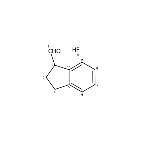 F.O=CC1CCc2ccccc21